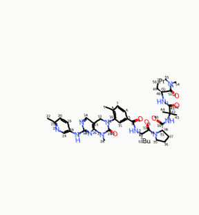 CCC(C)[C@H](NC(=O)c1ccc(C)c(N2Cc3cnc(Nc4ccc(C)nc4)nc3N(C)C2=O)c1)C(=O)N1CCC[C@H]1C(=O)NC(C)(C)C(=O)N[C@@H](CC(C)C)C(=O)N(C)C